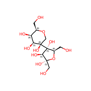 OC[C@H]1OC[C@](O)([C@@]2(O)[C@@H](CO)O[C@@](O)(CO)[C@H]2O)[C@@H](O)[C@H]1O